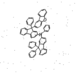 c1ccc(N(c2ccc3c(c2)C(c2ccccc2)(c2ccccc2)c2ccccc2-3)c2ccc3c(c2)C(c2ccccc2)(c2ccc4oc5ccccc5c4c2)c2ccccc2-3)cc1